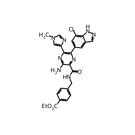 CCOC(=O)c1ccc(CNC(=O)c2nc(-c3cc(Cl)c4[nH]ncc4c3)c(-c3cn(C)cn3)nc2N)cc1